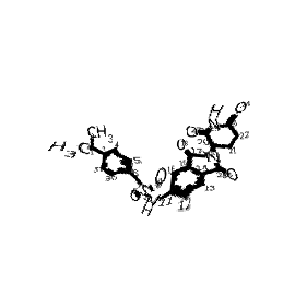 CC(C)c1ccc(S(=O)(=O)Nc2ccc3c(c2)C(=O)N(C2CCC(=O)NC2=O)C3=O)cc1